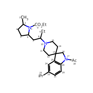 CCOC(=O)N1C(C)CCC1CC(CC)N1CCC2(CC1)CN(C(C)=O)c1ccc(C(C)C)cc12